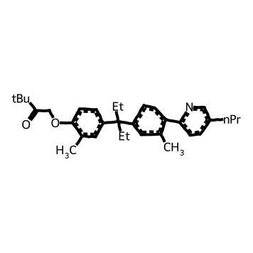 CCCc1ccc(-c2ccc(C(CC)(CC)c3ccc(OCC(=O)C(C)(C)C)c(C)c3)cc2C)nc1